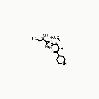 C[C@@H](CO)c1nnc([C@H](CC(=O)O)NC(=O)C2CCNCC2)o1